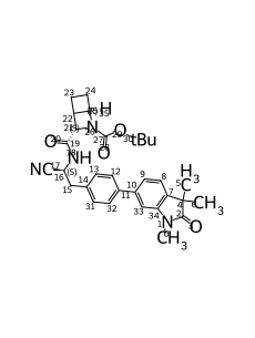 CN1C(=O)C(C)(C)c2ccc(-c3ccc(C[C@@H](C#N)NC(=O)[C@@H]4C5CC[C@H]5N4C(=O)OC(C)(C)C)cc3)cc21